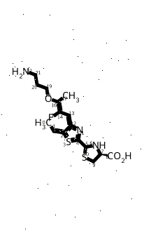 C/C=c1/sc(C2N[C@@H](C(=O)O)CS2)n/c1=C/C(F)=C(\C)OCCCN